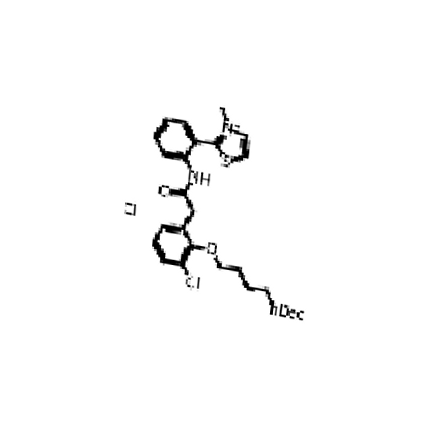 CCCCCCCCCCCCCCOc1c(Cl)cccc1CC(=O)Nc1ccccc1-c1scc[n+]1C.[Cl-]